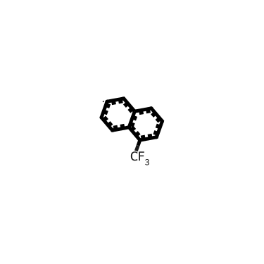 FC(F)(F)c1cccc2c[c]ccc12